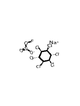 Cl[C@H]1[C@H](Cl)[C@@H](Cl)[C@@H](Cl)[C@H](Cl)[C@H]1Cl.O=[Si]([O-])OF.[Na+]